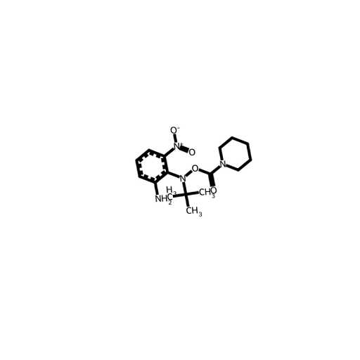 CC(C)(C)N(OC(=O)N1CCCCC1)c1c(N)cccc1[N+](=O)[O-]